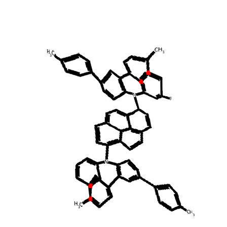 Cc1ccc(-c2ccc(N(C3=C4C=CC5=C6C(=CC=C(C=C3)C46)C(N(c3cccc(F)c3)c3ccc(-c4ccc(C)cc4)cc3-c3ccc(C)cc3)C=C5)c3cccc(F)c3)c(-c3ccc(C)cc3)c2)cc1